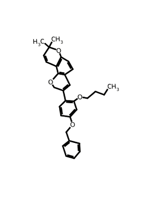 CCCCOc1cc(OCc2ccccc2)ccc1C1=Cc2ccc3c(c2OC1)C=CC(C)(C)O3